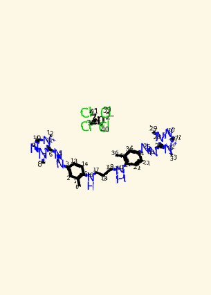 Cc1cc(/N=N/c2n(C)nc[n+]2C)ccc1NCCCNc1ccc(/N=N/c2n(C)nc[n+]2C)cc1C.[Cl][Zn-2]([Cl])([Cl])[Cl]